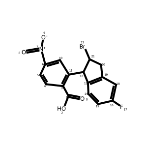 O=C(O)c1ccc([N+](=O)[O-])cc1C1c2ccc(F)cc2CC1Br